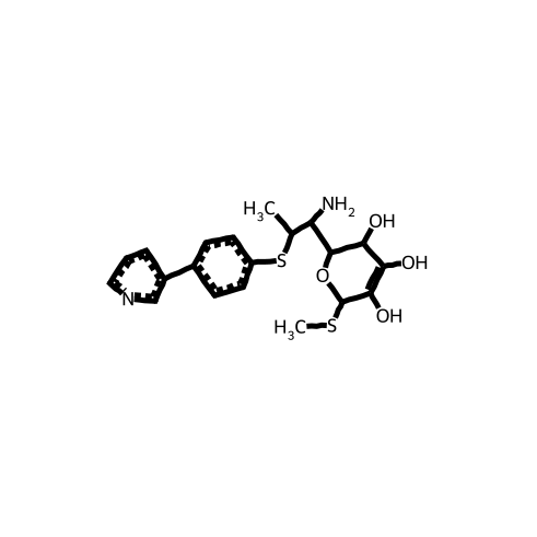 CSC1OC(C(N)C(C)Sc2ccc(-c3cccnc3)cc2)C(O)C(O)=C1O